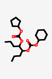 CCC[C](OC(=O)OC1CCCCC1)C(CCC)OC(=O)OC1CCCC1